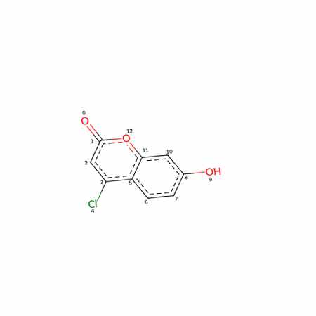 O=c1cc(Cl)c2ccc(O)cc2o1